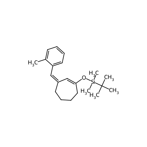 Cc1ccccc1C=C1C=C(O[Si](C)(C)C(C)(C)C)CCCC1